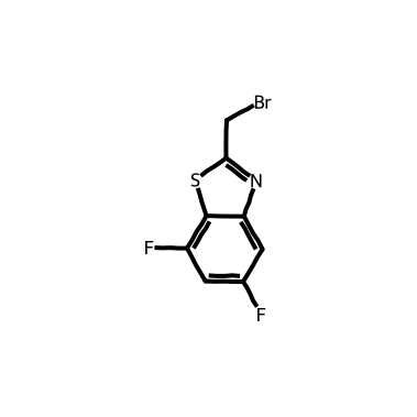 Fc1cc(F)c2sc(CBr)nc2c1